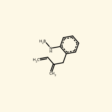 BNc1ccccc1CC(=C)C=C